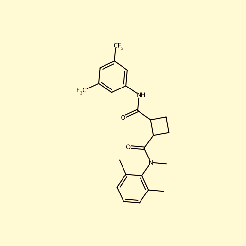 Cc1cccc(C)c1N(C)C(=O)C1CCC1C(=O)Nc1cc(C(F)(F)F)cc(C(F)(F)F)c1